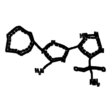 Nc1nc(-c2[nH]nnc2S(N)(=O)=O)nn1-c1ccccc1